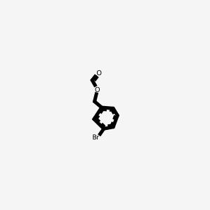 O=COCc1cccc(Br)c1